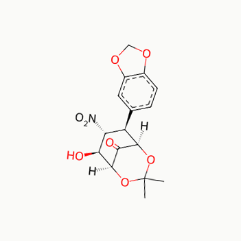 CC1(C)O[C@@H]2C(=O)[C@H](O1)[C@H](c1ccc3c(c1)OCO3)[C@@H]([N+](=O)[O-])[C@@H]2O